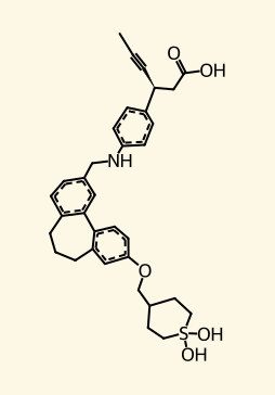 CC#C[C@@H](CC(=O)O)c1ccc(NCc2ccc3c(c2)-c2ccc(OCC4CCS(O)(O)CC4)cc2CCC3)cc1